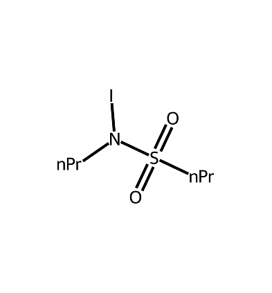 CCCN(I)S(=O)(=O)CCC